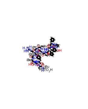 CC[C@H](C)[C@H](NC(=O)[C@H](CC(C)C)NC(=O)[C@H](Cc1ccccc1)NC(=O)[C@H](CO)NC(=O)[C@@H](NC(=O)[C@@H](NC(=O)[C@H](CCCNC(=N)N)NC(=O)[C@@H](NC(=O)[C@H](CC(C)C)NC(=O)[C@@H](NC(=O)[C@H](CC(C)C)NC(=O)[C@H](Cc1ccccc1)NC(=O)[C@H](Cc1ccc(O)cc1)NC(=O)[C@H](Cc1ccccc1)NC(=O)[C@@H]1CCCN1)[C@@H](C)CC)C(C)C)[C@@H](C)CC)[C@@H](C)CC)C(=O)O